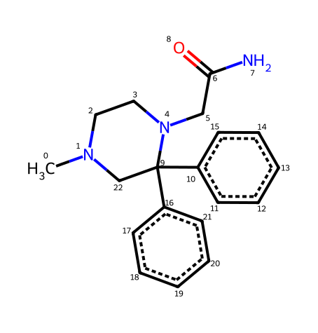 CN1CCN(CC(N)=O)C(c2ccccc2)(c2ccccc2)C1